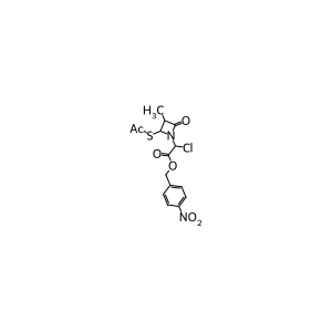 CC(=O)SC1C(C)C(=O)N1C(Cl)C(=O)OCc1ccc([N+](=O)[O-])cc1